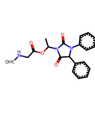 CC(OC(=O)CNC=O)N1C(=O)C(c2ccccc2)N(c2ccccc2)C1=O